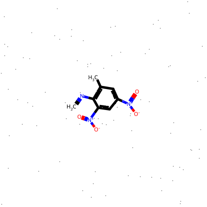 C=Nc1c(C)cc([N+](=O)[O-])cc1[N+](=O)[O-]